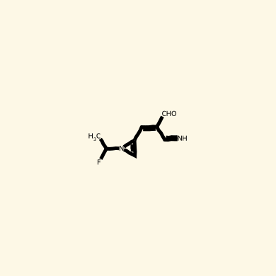 CC(F)N1C=C1/C=C(\C=N)C=O